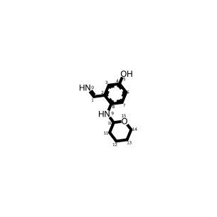 N=Cc1cc(O)ccc1NC1CCCCO1